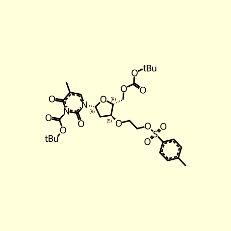 Cc1ccc(S(=O)(=O)OCCO[C@H]2C[C@H](n3cc(C)c(=O)n(C(=O)OC(C)(C)C)c3=O)O[C@@H]2COC(=O)OC(C)(C)C)cc1